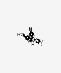 CN(C)C1CCN(c2nc(-c3ccc(C#N)cc3)c(-c3ccc(CCO)cc3)c(=O)[nH]2)CC1